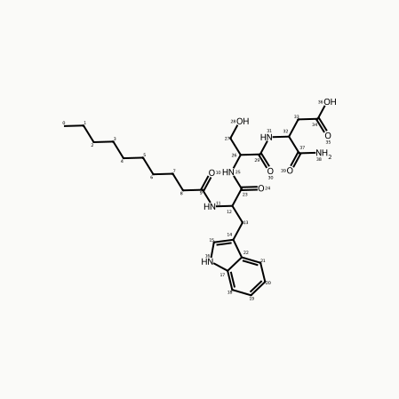 CCCCCCCCCC(=O)NC(Cc1c[nH]c2ccccc12)C(=O)NC(CO)C(=O)NC(CC(=O)O)C(N)=O